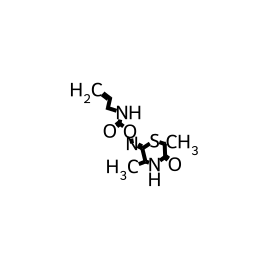 C=CCNC(=O)ON=C1SC(C)C(=O)NC1C